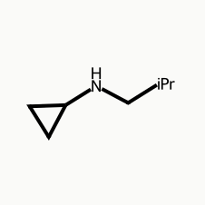 CC(C)CNC1CC1